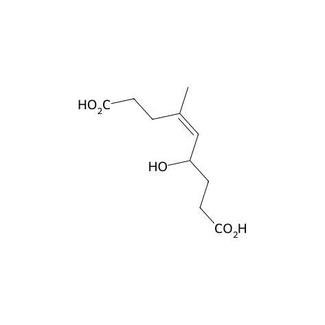 CC(=CC(O)CCC(=O)O)CCC(=O)O